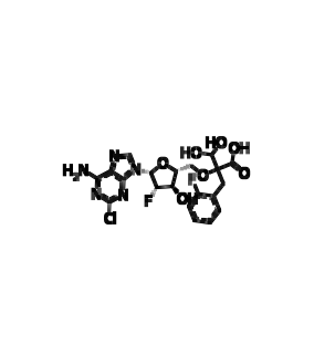 Nc1nc(Cl)nc2c1ncn2[C@@H]1O[C@H](COC(Cc2ccccc2F)(C(=O)O)C(O)O)[C@@H](O)[C@@H]1F